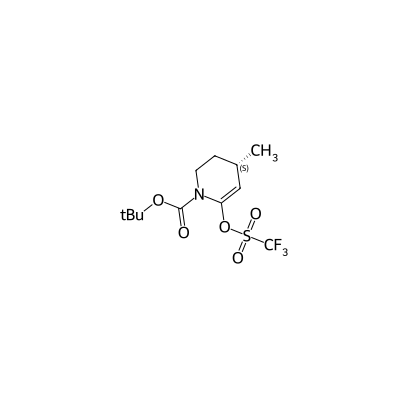 C[C@@H]1C=C(OS(=O)(=O)C(F)(F)F)N(C(=O)OC(C)(C)C)CC1